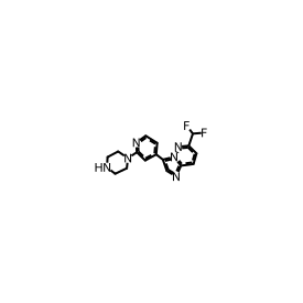 FC(F)c1ccc2ncc(-c3ccnc(N4CCNCC4)c3)n2n1